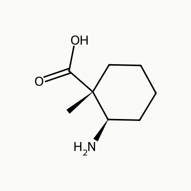 C[C@@]1(C(=O)O)CCCC[C@H]1N